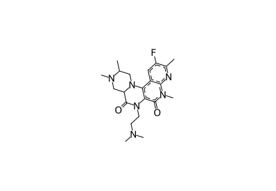 Cc1nc2c(cc1F)c1c(c(=O)n2C)N(CCN(C)C)C(=O)C2CN(C)C(C)CN12